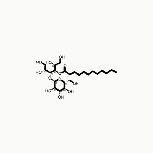 CCCCCCCCCCCC(=O)O[C@@H]([C@H](O[C@H]1O[C@H](CO)[C@@H](O)[C@H](O)[C@H]1O)[C@H](O)CO)[C@@H](O)CO